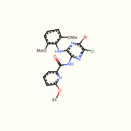 CCOc1cccc(C(=O)Nc2nc(Cl)c(Br)nc2Nc2c(OC)cccc2OC)n1